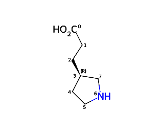 O=C(O)CC[C@@H]1CCNC1